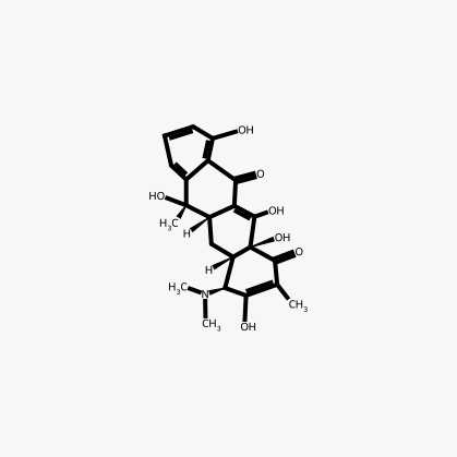 CC1=C(O)[C@@H](N(C)C)[C@@H]2C[C@H]3C(=C(O)[C@]2(O)C1=O)C(=O)c1c(O)cccc1[C@@]3(C)O